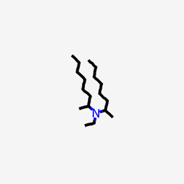 CCCCCCC(C)N(CC)C(C)CCCCCC